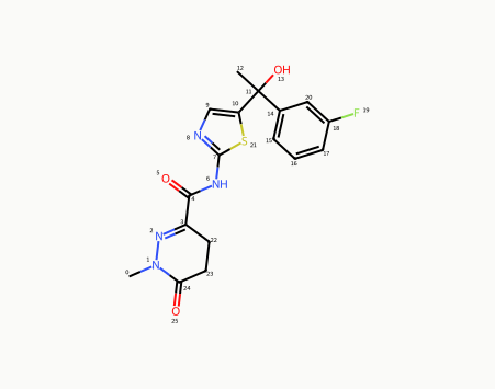 CN1N=C(C(=O)Nc2ncc(C(C)(O)c3cccc(F)c3)s2)CCC1=O